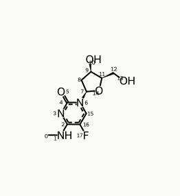 CNc1nc(=O)n([C@H]2C[C@@H](O)[C@@H](CO)O2)cc1F